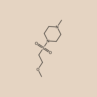 COCCS(=O)(=O)N1CCN(C)CC1